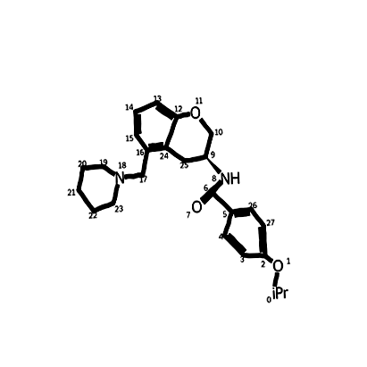 CC(C)Oc1ccc(C(=O)N[C@@H]2COc3cccc(CN4CCCCC4)c3C2)cc1